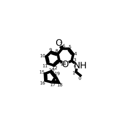 CCNC1C=CC(=O)c2ccccc2O1.c1cc2cc-2c1